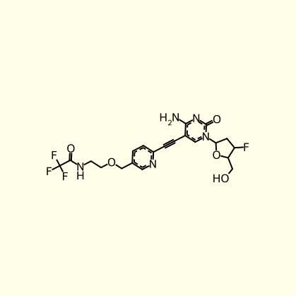 Nc1nc(=O)n(C2CC(F)C(CO)O2)cc1C#Cc1ccc(COCCNC(=O)C(F)(F)F)cn1